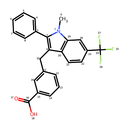 Cn1c(-c2ccccc2)c(Cc2cccc(C(=O)O)c2)c2ccc(C(F)(F)F)cc21